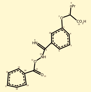 CCCC(Oc1cccc(C(=N)NOC(=O)c2ccccc2)c1)C(=O)O